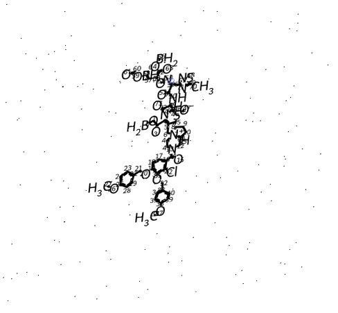 BOC(=O)C1=C(C[N+]23CCC[C@H]2CN(C(=O)c2ccc(OCc4ccc(OC)cc4)c(OCc4ccc(OC)cc4)c2Cl)CC3)C[S+]([O-])[C@@H]2[C@H](NC(=O)/C(=N\O[C@@H](CBOC=O)C(=O)OB)c3nsc(C)n3)C(=O)N12